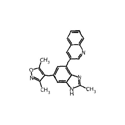 Cc1nc2c(-c3cnc4ccccc4c3)cc(-c3c(C)noc3C)cc2[nH]1